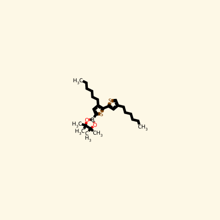 CCCCCCc1csc(-c2sc(B3OC(C)(C)C(C)(C)O3)cc2CCCCCC)c1